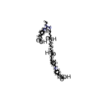 C=C/C=C(\C=C/NCCCC(=O)NCCSSCCNC(=O)CCC[n+]1ccc(/C=C/c2ccc(N(C)CC(=O)O)cc2)cc1)/C=C/c1ccc(N(C)CC(=O)O)cc1